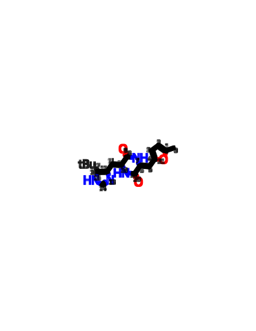 Cc1ccc(/C=c2\[nH]c(=O)/c(=C/c3nc[nH]c3C(C)(C)C)[nH]c2=O)o1